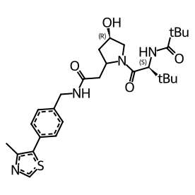 Cc1ncsc1-c1ccc(CNC(=O)CC2C[C@@H](O)CN2C(=O)[C@@H](NC(=O)C(C)(C)C)C(C)(C)C)cc1